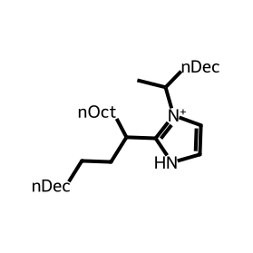 CCCCCCCCCCCCC(CCCCCCCC)c1[nH]cc[n+]1C(C)CCCCCCCCCC